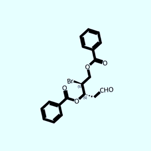 O=CC[C@H](OC(=O)c1ccccc1)[C@@H](Br)COC(=O)c1ccccc1